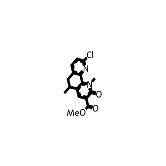 COC(=O)c1cc2c(n(C)c1=O)-c1nc(Cl)ccc1CC2C